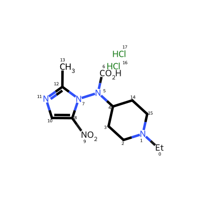 CCN1CCC(N(C(=O)O)n2c([N+](=O)[O-])cnc2C)CC1.Cl.Cl